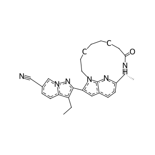 CCc1c(-c2cc3ccc4nc3n2CCCCCCCC(=O)N[C@@H]4C)nn2cc(C#N)ccc12